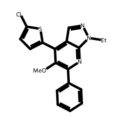 CCn1ncc2c(-c3ccc(Cl)s3)c(OC)c(-c3ccccc3)nc21